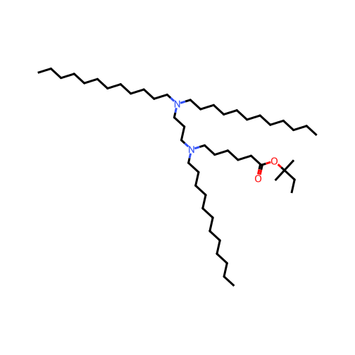 CCCCCCCCCCCCN(CCCCCCCCCCCC)CCCN(CCCCCCCCCCCC)CCCCCC(=O)OC(C)(C)CC